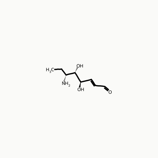 CC[C@@H](N)[C@H](O)[C@H](O)/C=C/C=O